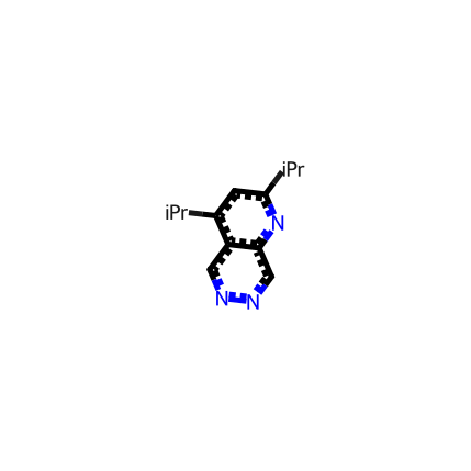 CC(C)c1cc(C(C)C)c2cnncc2n1